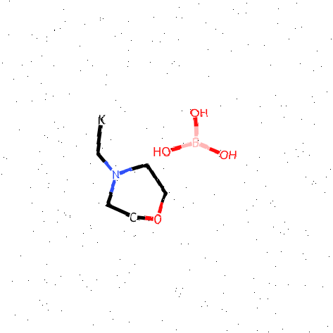 OB(O)O.[K][CH2]N1CCOCC1